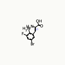 N/C(=C\c1cc(Br)cc(F)c1N)C(=O)O